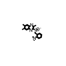 Cc1cc2nc(C)c([S+]([O-])Cc3ccccc3N(C)C)nc2cc1C